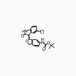 CC(C)(C)OC(=O)Nc1ccc2c(c1)/C(=C1/C(=O)Nc3ccc(Cl)cc31)OC2